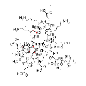 CC(C)C[C@H](NC(=O)[C@H](CC(=O)O)NC(=O)[C@H](CCCCN)NC(=O)[C@@H](NC(=O)[C@@H](N)[C@@H](C)O)[C@@H](C)O)C(=O)N[C@@H](CCCCN)C(=O)N[C@@H](CCC(=O)O)C(=O)N[C@@H](CCCCN)C(=O)N[C@@H](CCCCN)C(=O)N[C@@H](CCC(=O)O)C(=O)N[C@H](C(=O)N[C@H](C(=O)N[C@@H](CCC(=O)O)C(=O)N[C@@H](CCC(=O)O)C(=O)N[C@@H](C)C(=O)N[C@@H](CCC(=O)O)C(=O)N[C@@H](CC(N)=O)C(=O)O)C(C)C)C(C)C